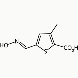 Cc1cc(C=NO)sc1C(=O)O